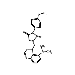 CN(C)c1cccc2nccc(CN3CC(=O)N(c4ccc(SC(F)(F)F)cc4)C3=O)c12